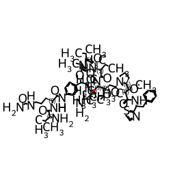 CC[C@H](C)[C@@H]([C@@H](CC(=O)N1CCC[C@H]1[C@H](OC)[C@@H](C)C(=O)NC(Cc1ccccc1)c1nccs1)OC)N(C)C(=O)[C@@H](NC(=O)[C@H](C(C)C)N(C)C(=O)OC(C(=O)N(CC)CCN)c1ccc(NC(=O)[C@H](CCCNC(N)=O)NC(=O)[C@@H](N)C(C)C)cc1)C(C)C